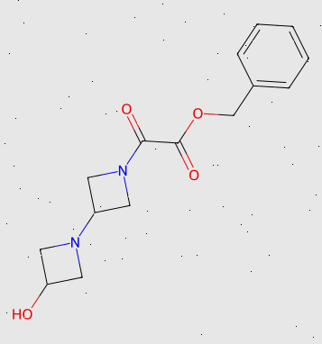 O=C(OCc1ccccc1)C(=O)N1CC(N2CC(O)C2)C1